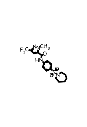 Cn1nc(C(F)(F)F)cc1C(=O)Nc1ccc(S(=O)(=O)N2CCCCCC2)cc1